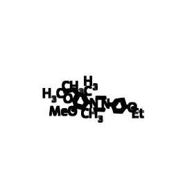 CCOc1ccc(N2CCN(c3c(C)c4c(c(OC)c3C)OC(C)(C)C4)CC2)cc1